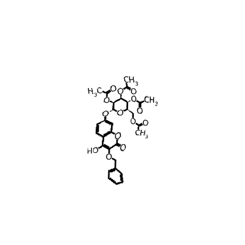 CC(=O)OC[C@H]1O[C@H](Oc2ccc3c(O)c(OCc4ccccc4)c(=O)oc3c2)[C@@H](OC(C)=O)[C@@H](OC(C)=O)[C@@H]1OC(C)=O